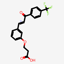 O=C(O)CCOc1cccc(/C=C/C(=O)c2ccc(C(F)(F)F)cc2)c1